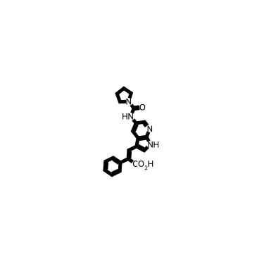 O=C(O)/C(=C\c1c[nH]c2ncc(NC(=O)N3CCCC3)cc12)c1ccccc1